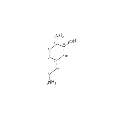 NCCC1CCC(N)C(O)C1